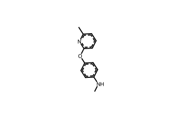 CNc1ccc(Oc2cccc(C)n2)cc1